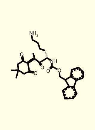 CC(C(=O)[C@H](CCCCN)NC(=O)OCC1c2ccccc2-c2ccccc21)=C1C(=O)CC(C)(C)CC1=O